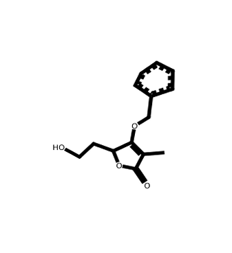 CC1=C(OCc2ccccc2)C(CCO)OC1=O